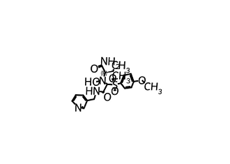 COc1ccc(S(=O)(=O)C(C(=O)NCc2cccnc2)N(O)[C@@H](C(N)=O)C(C)C)cc1